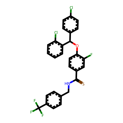 Fc1cc(C(=S)NCc2ccc(C(F)(F)F)cc2)ccc1OC(c1ccc(Cl)cc1)c1ccccc1Cl